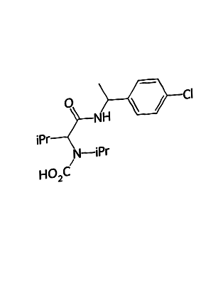 CC(NC(=O)C(C(C)C)N(C(=O)O)C(C)C)c1ccc(Cl)cc1